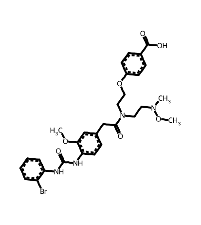 COc1cc(CC(=O)N(CCOc2ccc(C(=O)O)cc2)CCN(C)OC)ccc1NC(=O)Nc1ccccc1Br